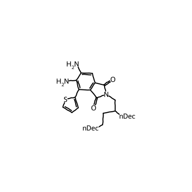 CCCCCCCCCCCCC(CCCCCCCCCC)CN1C(=O)c2cc(N)c(N)c(-c3cccs3)c2C1=O